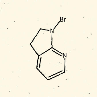 BrN1CCc2cccnc21